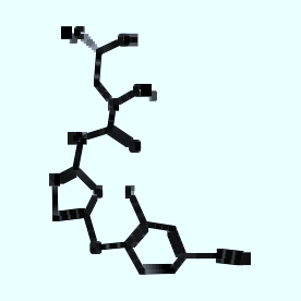 C[C@H](O)CN(C)C(=O)Nc1ncc(Oc2ccc(C#N)cc2F)s1